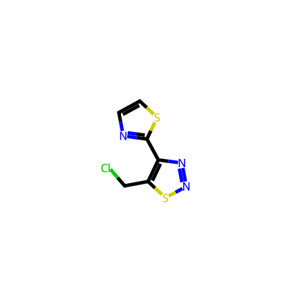 ClCc1snnc1-c1nccs1